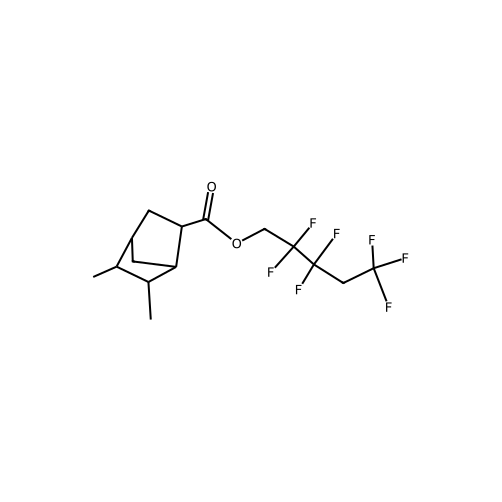 CC1C2CC(C(=O)OCC(F)(F)C(F)(F)CC(F)(F)F)C(C2)C1C